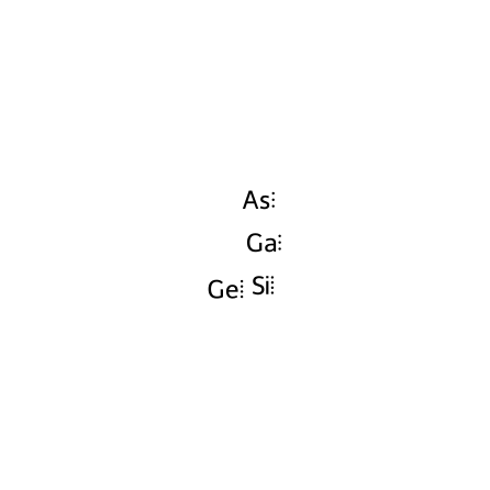 [As].[Ga].[Ge].[Si]